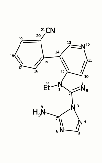 CCn1c(-n2ncnc2N)nc2cncc(-c3ccccc3C#N)c21